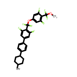 CCCC1CCC(c2ccc(-c3cc(F)c(C(F)(F)Oc4cc(F)c(C(F)(F)OC(F)(F)F)c(F)c4)c(F)c3)cc2)CC1